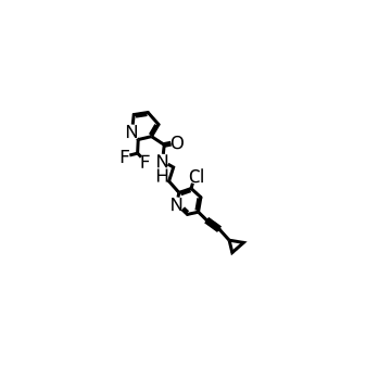 O=C(NCCc1ncc(C#CC2CC2)cc1Cl)c1cccnc1C(F)F